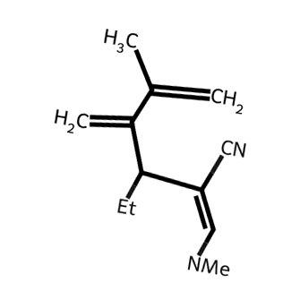 C=C(C)C(=C)C(CC)/C(C#N)=C\NC